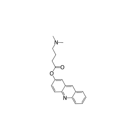 CN(C)CCCC(=O)Oc1ccc2nc3ccccc3cc2c1